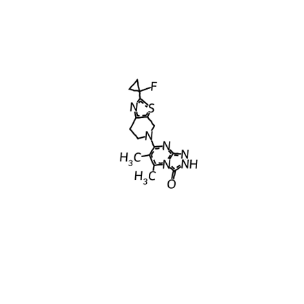 Cc1c(N2CCc3nc(C4(F)CC4)sc3C2)nc2n[nH]c(=O)n2c1C